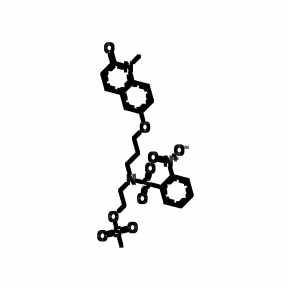 Cn1c(=O)ccc2cc(OCCCN(CCOS(C)(=O)=O)S(=O)(=O)c3ccccc3[N+](=O)[O-])ccc21